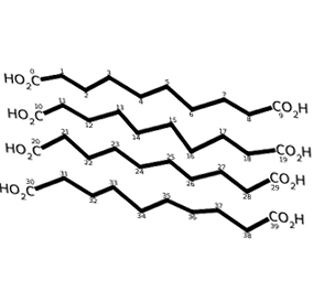 O=C(O)CCCCCCCCC(=O)O.O=C(O)CCCCCCCCC(=O)O.O=C(O)CCCCCCCCC(=O)O.O=C(O)CCCCCCCCC(=O)O